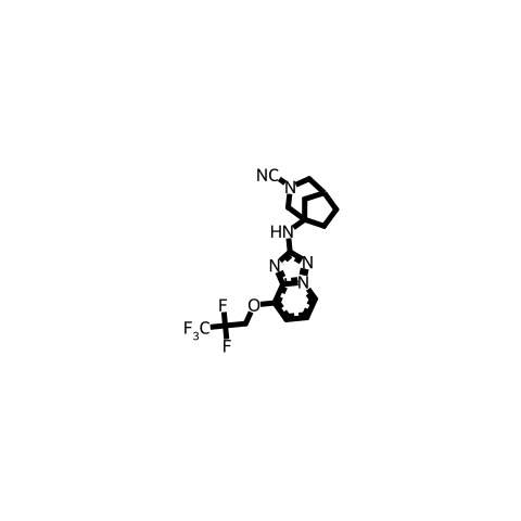 N#CN1CC2CCC(Nc3nc4c(OCC(F)(F)C(F)(F)F)cccn4n3)(C2)C1